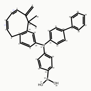 C=C1/C=C\C=C/Cc2ccc(N(c3ccc(B(O)O)cc3)c3ccc(-c4ccccc4)cc3)cc2C1(C)C